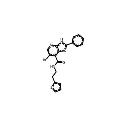 O=C(NCCc1cccs1)c1c(Br)cnc2[nH]c(-c3ccccc3)nc12